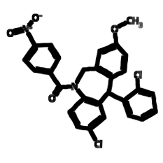 COc1ccc2c(c1)CN(C(=O)c1ccc([N+](=O)[O-])cc1)c1ccc(Cl)cc1C2c1ccccc1Cl